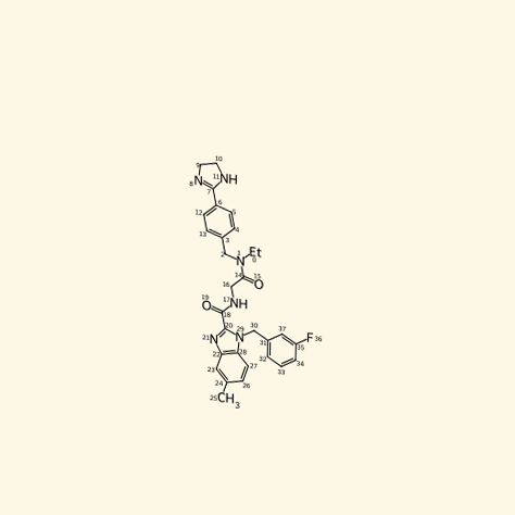 CCN(Cc1ccc(C2=NCCN2)cc1)C(=O)CNC(=O)c1nc2cc(C)ccc2n1Cc1cccc(F)c1